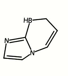 B1CC=Cn2ccnc21